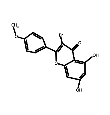 COc1ccc(-c2oc3cc(O)cc(O)c3c(=O)c2Br)cc1